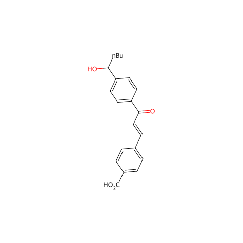 CCCCC(O)c1ccc(C(=O)/C=C/c2ccc(C(=O)O)cc2)cc1